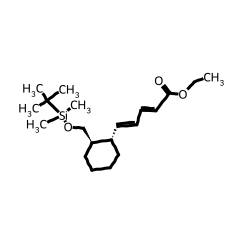 CCOC(=O)/C=C/C=C/[C@@H]1CCCC[C@H]1CO[Si](C)(C)C(C)(C)C